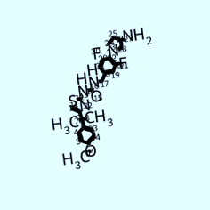 COc1ccc(C(C)(C)c2csc(NC(=O)NCc3cc(F)c(N4CCC(N)C4)c(F)c3)n2)cc1